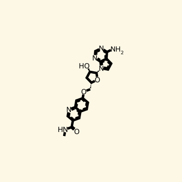 CNC(=O)c1cnc2cc(OC[C@@H]3C[C@@H](O)[C@H](n4ccc5c(N)ncnc54)O3)ccc2c1